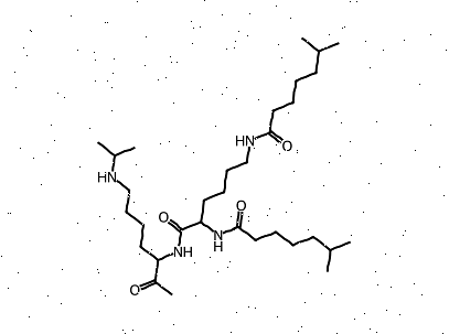 CC(=O)C(CCCCNC(C)C)NC(=O)C(CCCCNC(=O)CCCCC(C)C)NC(=O)CCCCC(C)C